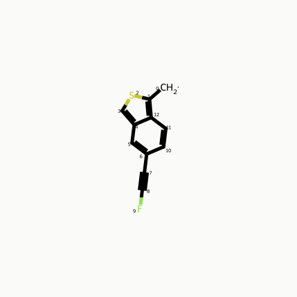 [CH2]c1scc2cc(C#CF)ccc12